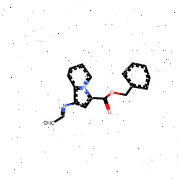 O=CC=Nc1cc(C(=O)OCc2ccccc2)n2ccccc12